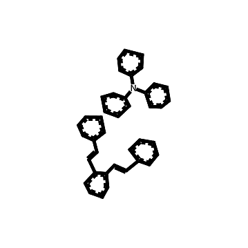 C(=Cc1ccccc1C=Cc1ccccc1)c1ccccc1.c1ccc(N(c2ccccc2)c2ccccc2)cc1